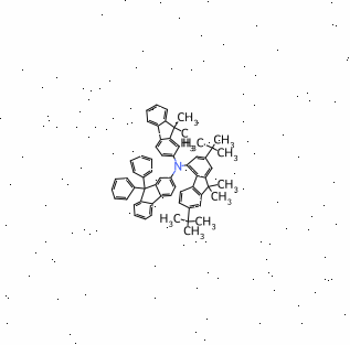 CC(C)(C)c1ccc2c(c1)C(C)(C)c1cc(C(C)(C)C)cc(N(c3ccc4c(c3)C(C)(C)c3ccccc3-4)c3ccc4c(c3)C(c3ccccc3)(c3ccccc3)c3ccccc3-4)c1-2